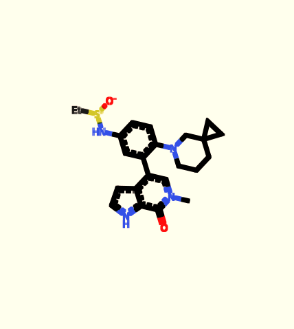 CC[S+]([O-])Nc1ccc(N2CCCC3(CC3)C2)c(-c2cn(C)c(=O)c3[nH]ccc23)c1